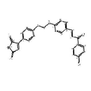 O=C1C=C(c2ccc(CCOc3ccc(C=CC(=O)c4ccc(F)cc4)cc3)cc2)C(=O)N1